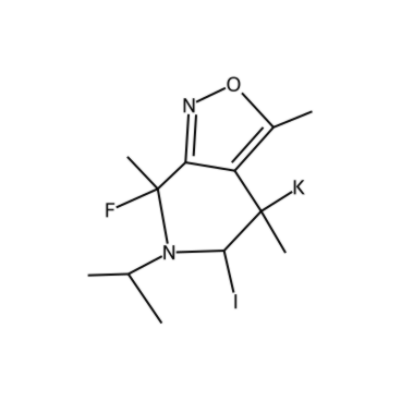 Cc1onc2c1[C](C)([K])C(I)N(C(C)C)C2(C)F